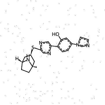 C[C@]12CC[C@H](C[C@@H](Sc3cnc(-c4ccc(-n5ccnc5)cc4O)cn3)C1)N2